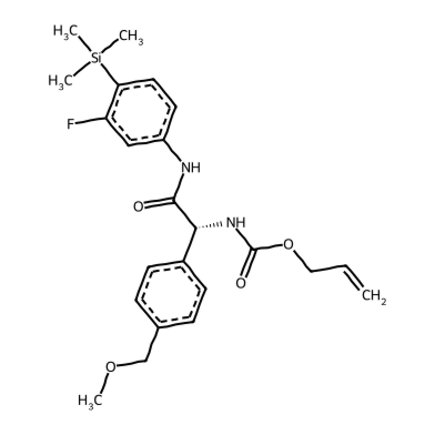 C=CCOC(=O)N[C@@H](C(=O)Nc1ccc([Si](C)(C)C)c(F)c1)c1ccc(COC)cc1